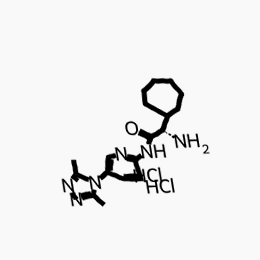 Cc1nnc(C)n1-c1ccc(NC(=O)[C@@H](N)C2CCCCCC2)nc1.Cl.Cl